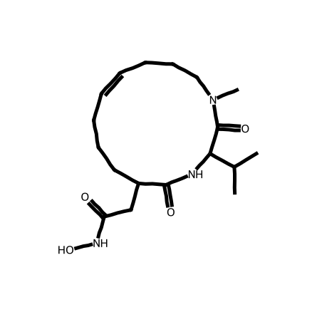 CC(C)C1NC(=O)C(CC(=O)NO)CCCC=CCCCN(C)C1=O